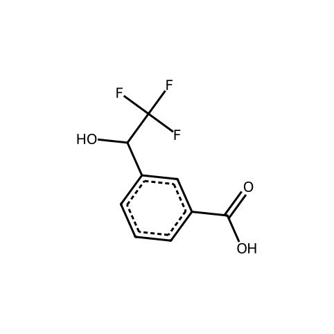 O=C(O)c1cccc(C(O)C(F)(F)F)c1